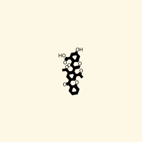 CC(=O)c1cc2c(=O)c3ccccc3oc2c(C(C)=O)c1-c1coc2cc(O)cc(C(=O)O)c2c1=O